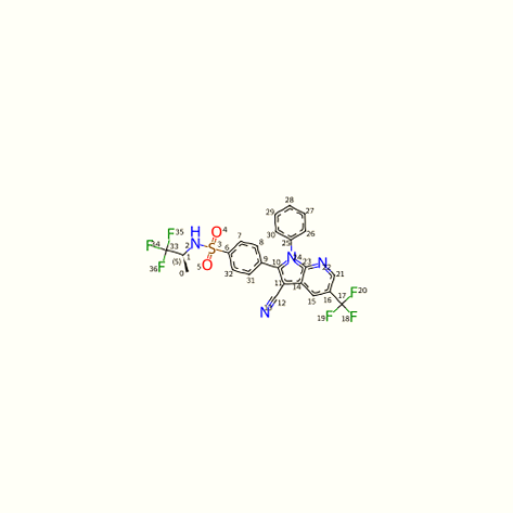 C[C@H](NS(=O)(=O)c1ccc(-c2c(C#N)c3cc(C(F)(F)F)cnc3n2-c2ccccc2)cc1)C(F)(F)F